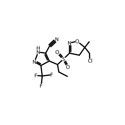 CCC(c1c(C(F)(F)F)n[nH]c1C#N)S(=O)(=O)C1=NOC(C)(CCl)C1